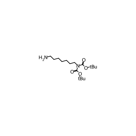 CC(C)(C)OC(=O)N(CCCCCCCN)C(=O)OC(C)(C)C